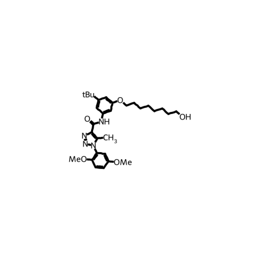 COc1ccc(OC)c(-n2nnc(C(=O)Nc3cc(OCCCCCCCCO)cc(C(C)(C)C)c3)c2C)c1